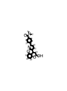 CN(C)C(=O)c1ccc(-c2ccc3c(n2)Oc2ccccc2C3CC(=O)O)cc1